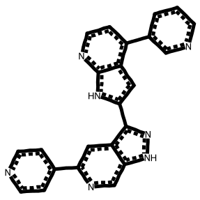 c1cncc(-c2ccnc3[nH]c(-c4n[nH]c5cnc(-c6ccncc6)cc45)cc23)c1